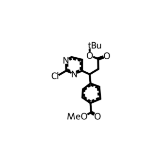 COC(=O)c1ccc(C(CC(=O)OC(C)(C)C)c2ccnc(Cl)n2)cc1